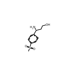 CS(=O)(=O)c1ccc([C@@H](N)CCO)cc1